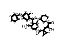 CCNC1(C=C(C#N)C(=O)N2CCC[C@H](n3nc(-c4ccc(Oc5ccccc5)cc4F)c4c(N)ncnc43)C2)CC1